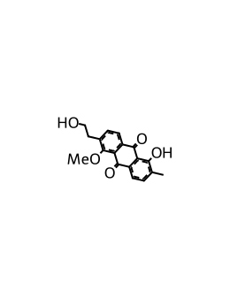 COc1c(CCO)ccc2c1C(=O)c1ccc(C)c(O)c1C2=O